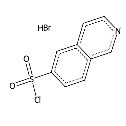 Br.O=S(=O)(Cl)c1ccc2cnccc2c1